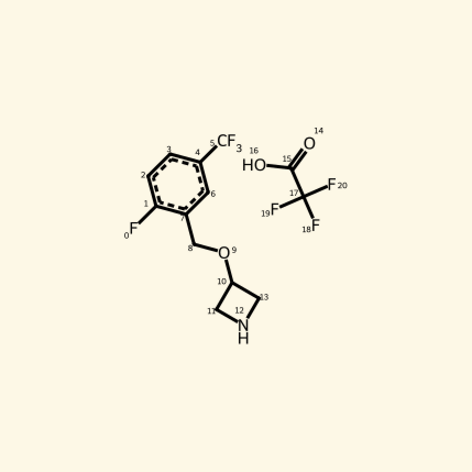 Fc1ccc(C(F)(F)F)cc1COC1CNC1.O=C(O)C(F)(F)F